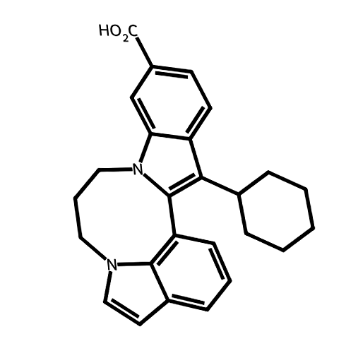 O=C(O)c1ccc2c(C3CCCCC3)c3n(c2c1)CCCn1ccc2cccc-3c21